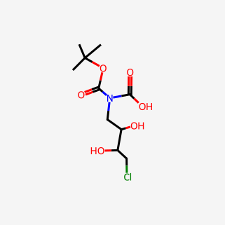 CC(C)(C)OC(=O)N(CC(O)C(O)CCl)C(=O)O